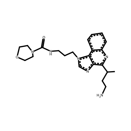 CC(CCN)c1nc2ccccc2c2c1ncn2CCCNC(=O)N1CCOCC1